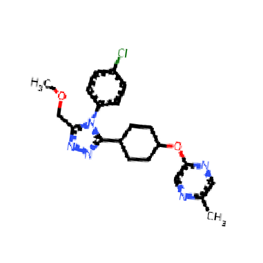 COCc1nnc(C2CCC(Oc3cnc(C)cn3)CC2)n1-c1ccc(Cl)cc1